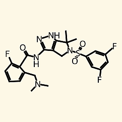 CN(C)Cc1cccc(F)c1C(=O)Nc1n[nH]c2c1CN(S(=O)(=O)c1cc(F)cc(F)c1)C2(C)C